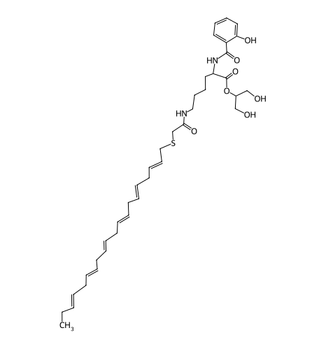 CCC=CCC=CCC=CCC=CCC=CCC=CCSCC(=O)NCCCCC(NC(=O)c1ccccc1O)C(=O)OC(CO)CO